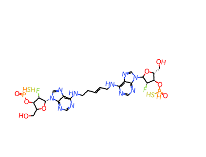 O=[PH](S)O[C@@H]1[C@@H](CO)OC(n2cnc3c(NC/C=C/CCNc4ncnc5c4ncn5[C@@H]4OC(CO)[C@@H](O[PH](=O)S)[C@H]4F)ncnc32)[C@@H]1F